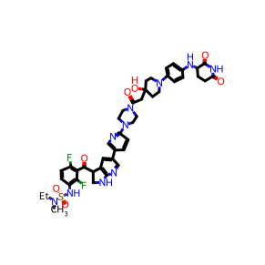 CCN(C)S(=O)(=O)Nc1ccc(F)c(C(=O)C2CNc3ncc(-c4ccc(N5CCN(C(=O)CC6(O)CCN(c7ccc(NC8CCC(=O)NC8=O)cc7)CC6)CC5)nc4)cc32)c1F